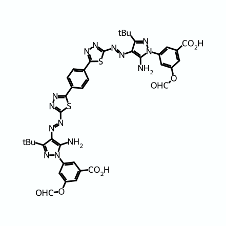 CC(C)(C)c1nn(-c2cc(OC=O)cc(C(=O)O)c2)c(N)c1N=Nc1nnc(-c2ccc(-c3nnc(N=Nc4c(C(C)(C)C)nn(-c5cc(OC=O)cc(C(=O)O)c5)c4N)s3)cc2)s1